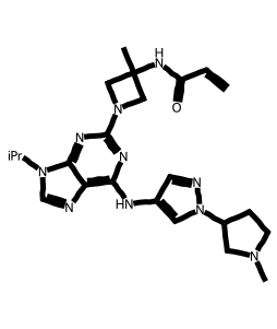 C=CC(=O)NC1(C)CN(c2nc(Nc3cnn(C4CCN(C)C4)c3)c3ncn(C(C)C)c3n2)C1